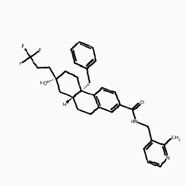 Cc1ncccc1CNC(=O)c1ccc2c(c1)CC[C@@H]1C[C@@](O)(CCC(F)(F)F)CC[C@@]21Cc1ccccc1